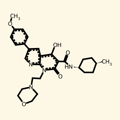 COc1ccc(-c2cnc3c(c2)c(O)c(C(=O)N[C@H]2CC[C@@H](C)CC2)c(=O)n3CCN2CCOCC2)cc1